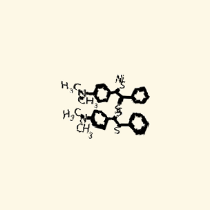 CN(C)c1ccc(C(=S)C(=S)c2ccccc2)cc1.CN(C)c1ccc(C(=S)C(=S)c2ccccc2)cc1.[Ni]